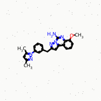 COc1cccc2c1nc(N)n1nc(Cc3cccc(-n4nc(C)cc4C)c3)cc21